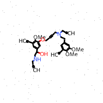 C#CCNCC(O)c1cc(C#C)c(OC)c(OCC#CCN(CC#C)CCc2cc(C#C)c(OC)c(OC)c2)c1